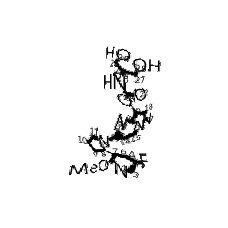 COc1ncc(F)cc1[C@H]1CCCN1c1ccn2ncc(OC(=O)NC(CO)CO)c2n1